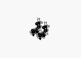 CC(C)C[C@H]1C(=O)N2CCC[C@H]2[C@]2(O)O[C@](NC(=O)[C@@H]3C=C4c5cccc6[nH]c(Br)c(c56)C[C@H]4N(C)C3)(C(C)C)C(=O)N12.CC(C)C[C@H]1C(=O)N2CCC[C@H]2[C@]2(O)O[C@](NC(=O)[C@@H]3C=C4c5cccc6[nH]c(Br)c(c56)C[C@H]4N(C)C3)(C(C)C)C(=O)N12